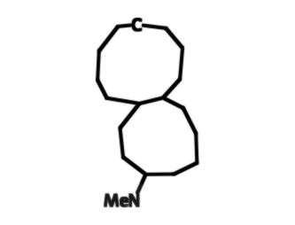 CNC1CCCCC2CCCCCCCCC2CC1